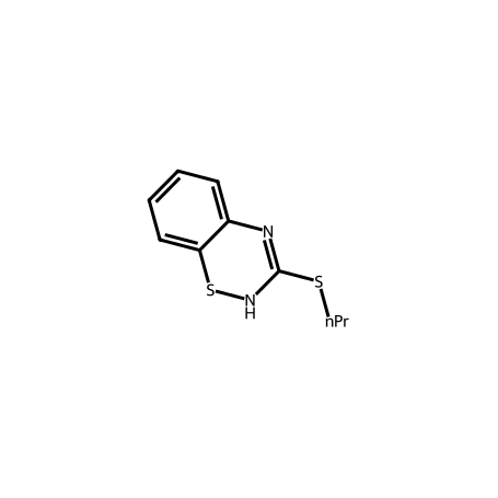 CCCSC1=Nc2ccccc2SN1